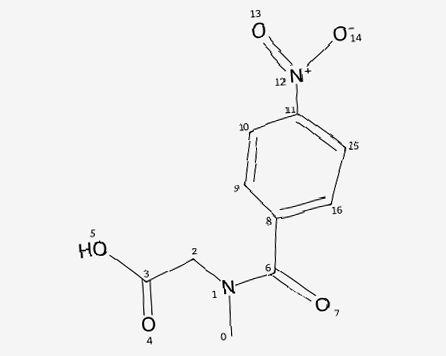 CN(CC(=O)O)C(=O)c1ccc([N+](=O)[O-])cc1